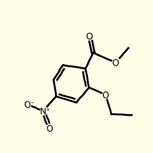 CCOc1cc([N+](=O)[O-])ccc1C(=O)OC